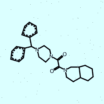 O=C(C(=O)N1CCC2CCCCC2C1)N1CCN(C(c2ccccc2)c2ccccc2)CC1